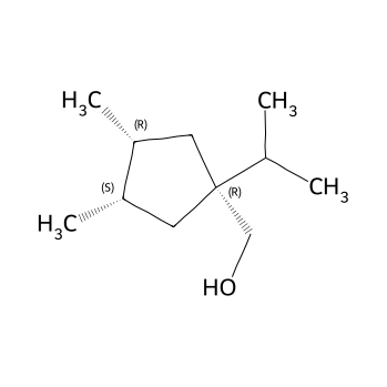 CC(C)[C@]1(CO)C[C@@H](C)[C@@H](C)C1